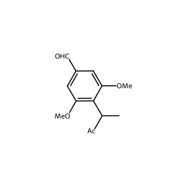 COc1cc(C=O)cc(OC)c1C(C)C(C)=O